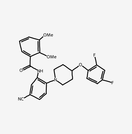 COc1cccc(C(=O)Nc2cc(C#N)ccc2N2CCC(Oc3ccc(F)cc3F)CC2)c1OC